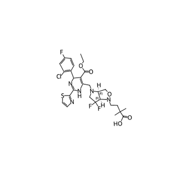 CCOC(=O)C1=C(CN2CC(F)(F)[C@H]3[C@@H]2CON3CCC(C)(C)C(=O)O)NC(c2nccs2)=NC1c1ccc(F)cc1Cl